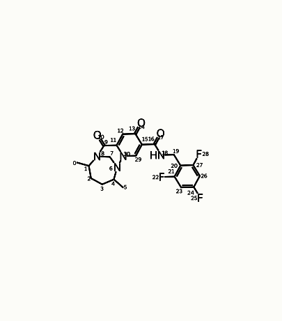 CC1CCC(C)N2CN1C(=O)c1cc(=O)c(C(=O)NCc3c(F)cc(F)cc3F)cn12